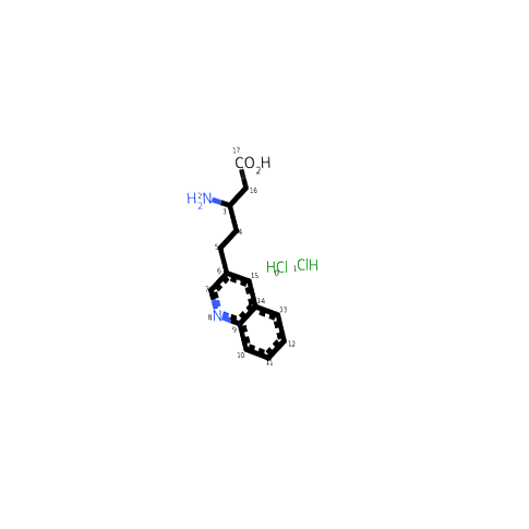 Cl.Cl.NC(CCc1cnc2ccccc2c1)CC(=O)O